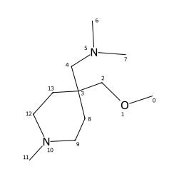 COCC1(CN(C)C)CCN(C)CC1